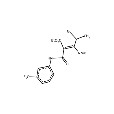 CCOC(=O)/C(C(=O)Nc1cccc(C(F)(F)F)c1)=C(/NC)C(C)Br